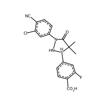 CC1(C)C(=O)N(c2ccc(C#N)c(Cl)c2)N[SH]1c1ccc(C(=O)O)c(F)c1